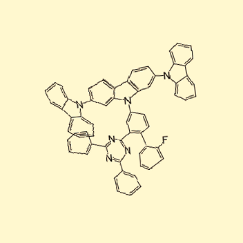 Fc1ccccc1-c1ccc(-n2c3cc(-n4c5ccccc5c5ccccc54)ccc3c3ccc(-n4c5ccccc5c5ccccc54)cc32)cc1-c1nc(-c2ccccc2)nc(-c2ccccc2)n1